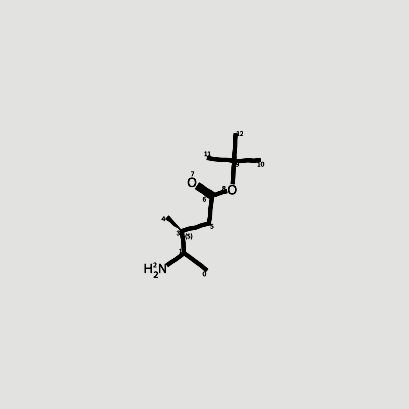 CC(N)[C@@H](C)CC(=O)OC(C)(C)C